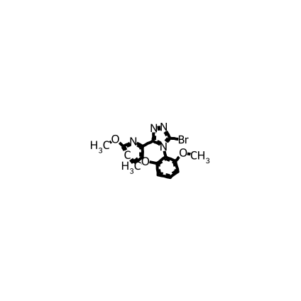 COc1cccc(-c2nnc(Br)n2-c2c(OC)cccc2OC)n1